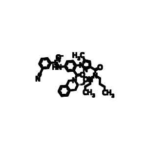 CCCCN(CCCC)C(=O)c1cc(C)n(-c2ccc(N[S+]([O-])c3cccc(C#N)c3)cc2C(=O)N2Cc3ccccc3C[C@H]2CO)n1